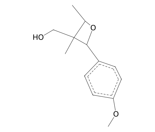 COc1ccc(C2OC(C)C2(C)CO)cc1